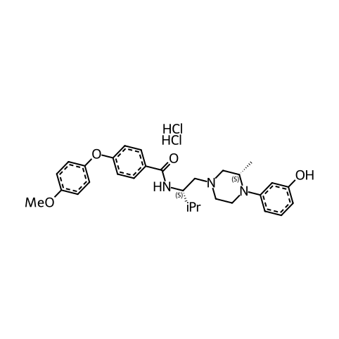 COc1ccc(Oc2ccc(C(=O)N[C@H](CN3CCN(c4cccc(O)c4)[C@@H](C)C3)C(C)C)cc2)cc1.Cl.Cl